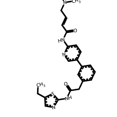 CCc1cnc(NC(=O)Cc2cccc(-c3ccc(NC(=O)/C=C/CN(C)C)nc3)c2)s1